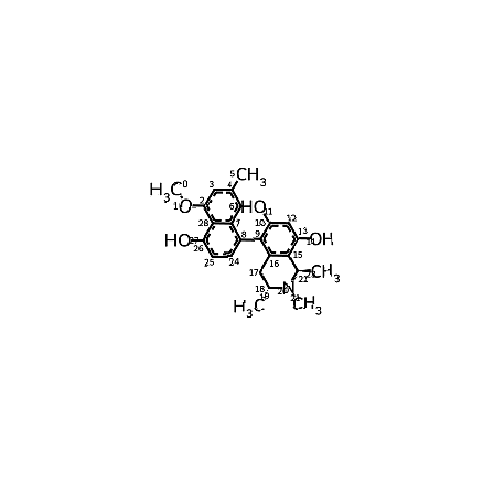 COc1cc(C)cc2c(-c3c(O)cc(O)c4c3C[C@@H](C)N(C)[C@@H]4C)ccc(O)c12